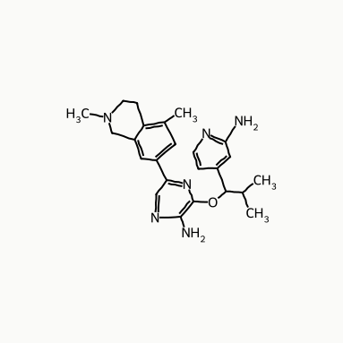 Cc1cc(-c2cnc(N)c(OC(c3ccnc(N)c3)C(C)C)n2)cc2c1CCN(C)C2